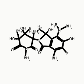 Bc1c(F)c(O)c(N(B)B)c2c1C(=O)N(C1(B)C(=O)N(B)C(=O)C(B)(O)C1(B)O)C2(B)O